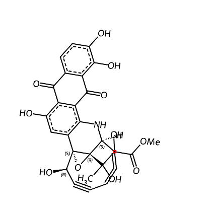 COC(=O)C(O)C(C)(O)[C@@]12O[C@]13c1cc(O)c4c(c1N[C@H]2C=C=CC#C[C@H]3O)C(=O)c1c(ccc(O)c1O)C4=O